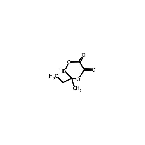 CCC1(C)BOC(=O)C(=O)O1